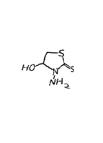 NN1C(=S)SCC1O